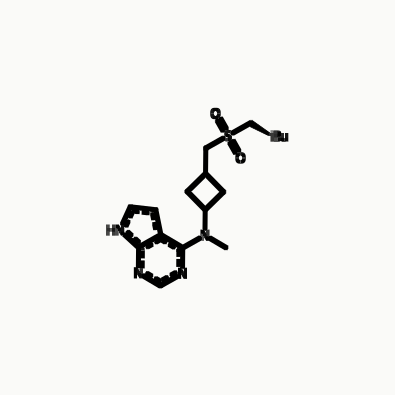 CC[C@H](C)CS(=O)(=O)CC1CC(N(C)c2ncnc3[nH]ccc23)C1